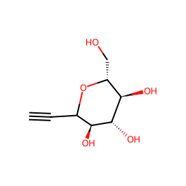 C#CC1O[C@H](CO)[C@@H](O)[C@H](O)[C@H]1O